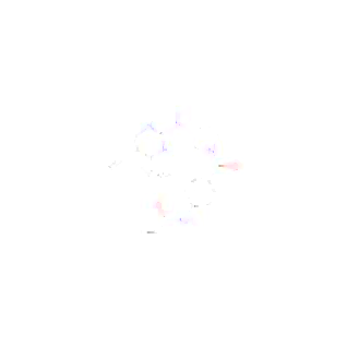 C#Cc1cnc(NC2CCN(C(=O)c3ccc(NC(=O)C=C)cc3)C2)nc1OC